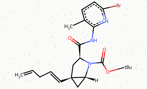 C=CCC=C[C@@]12C[C@@H](C(=O)Nc3nc(Br)ccc3C)N(C(=O)OC(C)(C)C)[C@@H]1C2